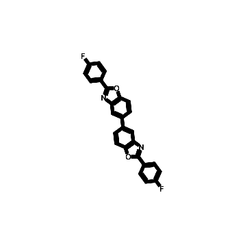 Fc1ccc(-c2nc3cc(-c4ccc5oc(-c6ccc(F)cc6)nc5c4)ccc3o2)cc1